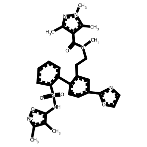 Cc1noc(NS(=O)(=O)c2ccccc2-c2ccc(-c3ncco3)cc2CCN(C)C(=O)c2c(C)nn(C)c2C)c1C